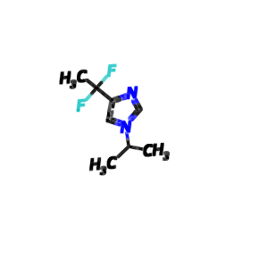 CC(C)n1cnc(C(C)(F)F)c1